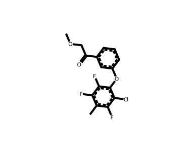 COCC(=O)c1cccc(Oc2c(F)c(F)c(C)c(F)c2Cl)c1